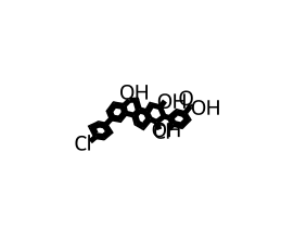 O=C(O)c1ccc(Cl)c(C2C(O)C=c3c(ccc4c3=CC(O)c3ccc(-c5ccc(Cl)cc5)cc3-4)C2O)c1